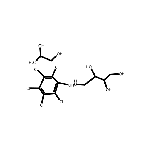 CC(O)CO.OCC(O)C(O)CO.Oc1c(Cl)c(Cl)c(Cl)c(Cl)c1Cl